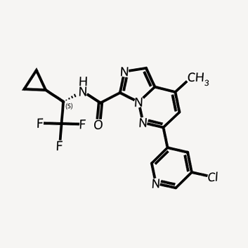 Cc1cc(-c2cncc(Cl)c2)nn2c(C(=O)N[C@@H](C3CC3)C(F)(F)F)ncc12